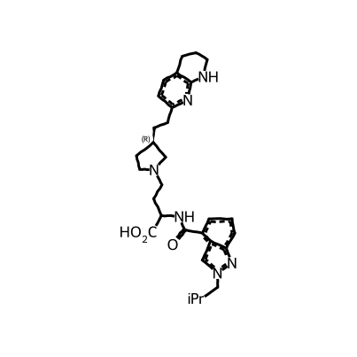 CC(C)Cn1cc2c(C(=O)NC(CCN3CC[C@@H](CCc4ccc5c(n4)NCCC5)C3)C(=O)O)cccc2n1